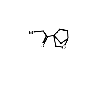 O=C(CBr)C12CCC(C1)OC2